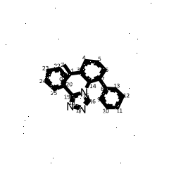 CC(C)c1cccc(-c2ccccc2)c1-n1cnnc1-c1ccccc1